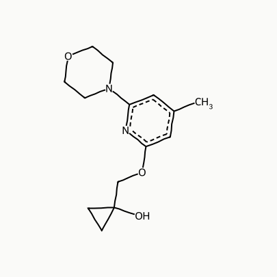 Cc1cc(OCC2(O)CC2)nc(N2CCOCC2)c1